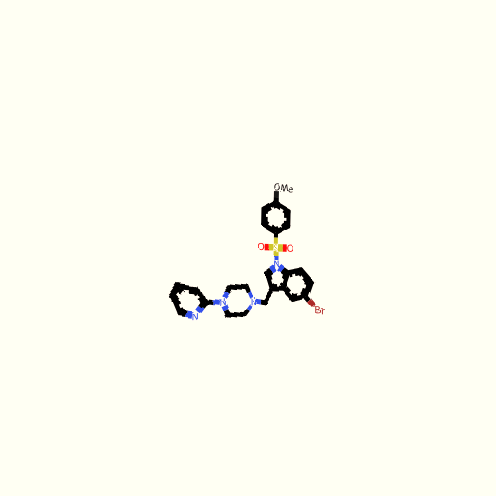 COc1ccc(S(=O)(=O)n2cc(CN3CCN(c4ccccn4)CC3)c3cc(Br)ccc32)cc1